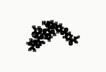 CCC(C)C(=O)C1CCN(C(=O)Oc2ccc(C[C@@H](CN)NC(=O)[C@H](C)[C@@H](OC)[C@@H]3CCCN3C(=O)C[C@@H](OC)[C@H]([C@@H](C)CC)N(C)C(=O)[C@@H](NC(=O)C(C(C)C)N(C)C)C(C)C)cc2)CC1